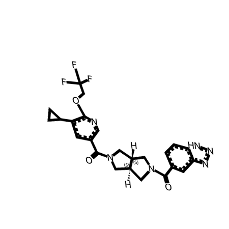 O=C(c1cnc(OCC(F)(F)F)c(C2CC2)c1)N1C[C@@H]2CN(C(=O)c3ccc4[nH]nnc4c3)C[C@H]2C1